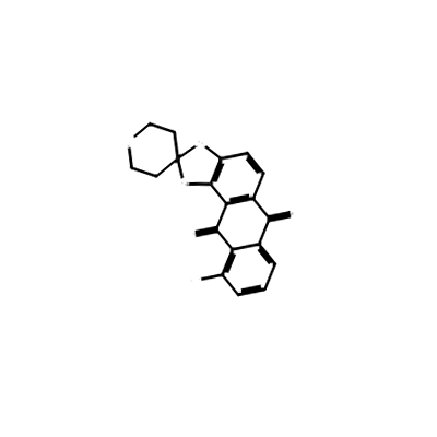 O=C1c2cccc(O)c2C(=O)c2c1ccc1c2NC2(CCOCC2)N1